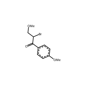 COCC(Br)C(=O)c1ccc(OC)cc1